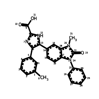 Cc1cccc(-c2nc(C(=O)O)[nH]c2-c2ccc3c(c2)n(C)c(=O)n3-c2ccccc2)c1